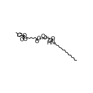 CCCCCCCCCCCCCCCNC(=O)OC[C@@H]1CO[C@@H](COC(=O)CCCCCOS(=O)(=O)c2ccc(C)cc2)C1